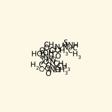 C=CC1C[C@]1(NC(=O)[C@@H]1CC(Oc2cc(-c3csc(NC(C)C)n3)nc3cc(OC)ccc23)CN1C(=O)[C@@H](NC(=O)OC1CCCC1)C(C)(C)C)P(=O)(O)O